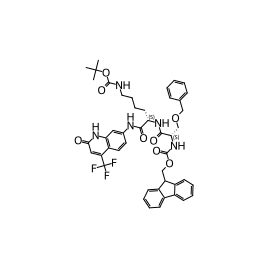 CC(C)(C)OC(=O)NCCCC[C@H](NC(=O)[C@H](COCc1ccccc1)NC(=O)OCC1c2ccccc2-c2ccccc21)C(=O)Nc1ccc2c(C(F)(F)F)cc(=O)[nH]c2c1